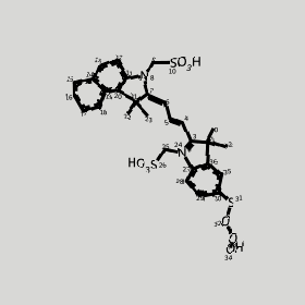 CC1(C)C(C=CC=C2N(CS(=O)(=O)O)c3ccc4ccccc4c3C2(C)C)=[N+](CS(=O)(=O)O)c2ccc(SOOO)cc21